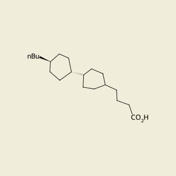 CCCC[C@H]1CC[C@H](C2CCC(CCCC(=O)O)CC2)CC1